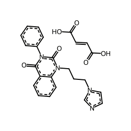 O=C(O)C=CC(=O)O.O=c1c2ccccc2n(CCCn2ccnc2)c(=O)n1-c1ccccc1